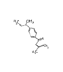 C=CC(C)c1ccc(NCC(=C)C)cc1